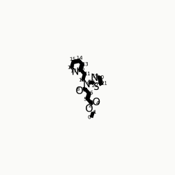 CCOC(=O)/C=C/C(=O)N(CCc1ccccn1)c1nccs1